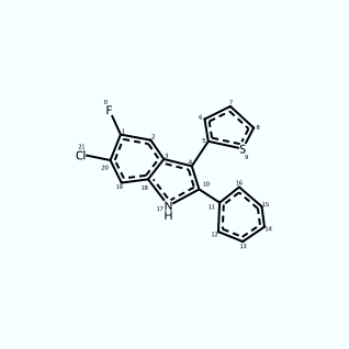 Fc1cc2c(-c3cccs3)c(-c3ccccc3)[nH]c2cc1Cl